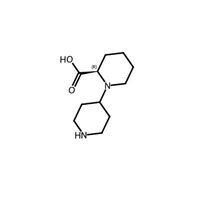 O=C(O)[C@H]1CCCCN1C1CCNCC1